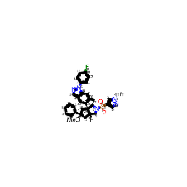 CCCn1cc(S(=O)(=O)N2C[C@@H]3C[C@@](OC)(c4ccccc4)C[C@]3(c3cc4cnn(-c5ccc(F)cc5)c4cc3C)C2)cn1